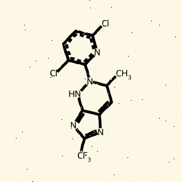 CC1C=C2N=C(C(F)(F)F)N=C2NN1c1nc(Cl)ccc1Cl